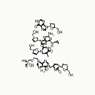 C[C@H](Cn1cnc2c(N)ncnc21)OCP(=O)(O)O.Cc1cn([C@H]2C=C[C@@H](CO)O2)c(=O)[nH]c1=O.Nc1ccn([C@H]2CS[C@@H](CO)O2)c(=O)n1.Nc1nc(NC2CC2)c2ncn([C@H]3C=C[C@@H](CO)C3)c2n1.O=c1[nH]cnc2c1ncn2[C@H]1CC[C@@H](CO)O1